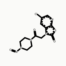 O=NN1CCN(C(=O)Cn2c(=O)sc3ncc(Cl)cc32)CC1